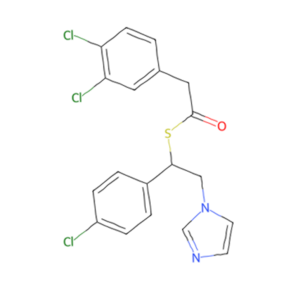 O=C(Cc1ccc(Cl)c(Cl)c1)SC(Cn1ccnc1)c1ccc(Cl)cc1